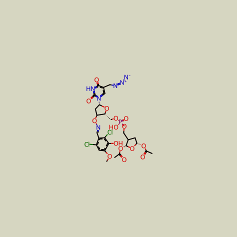 COc1cc(Cl)c(/C=N/OC2C[C@H](n3cc(CN=[N+]=[N-])c(=O)[nH]c3=O)O[C@@H]2COP(=O)(O)OCC2C[C@H](OC(C)=O)O[C@@H]2OC(C)=O)c(Cl)c1O